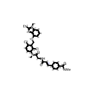 CCc1nc2c(OCc3c(Cl)ccc(N(C)C(=O)CNC(=O)/C=C/c4ccc(C(=O)NC)cc4)c3Cl)cccc2n1C